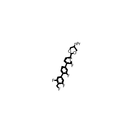 CCCC1COC(c2ccc(-c3ccc(-c4cc(F)c(CF)c(F)c4)c(F)c3)c(F)c2)OC1